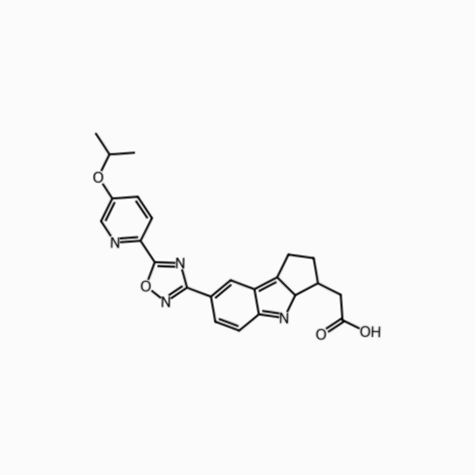 CC(C)Oc1ccc(-c2nc(-c3ccc4c(c3)=C3CCC(CC(=O)O)C3N=4)no2)nc1